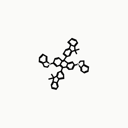 CC1(C)c2ccccc2-c2ccc(-c3c4ccc(N5CCc6ccccc65)cc4c(-c4ccc5c(c4)C(C)(C)c4ccccc4-5)c4ccc(N5CCc6ccccc65)cc34)cc21